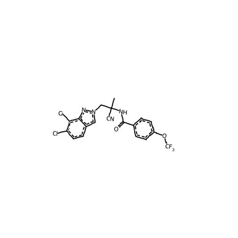 CC(C#N)(Cn1cc2ccc(Cl)c(Cl)c2n1)NC(=O)c1ccc(OC(F)(F)F)cc1